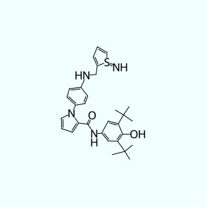 CC(C)(C)c1cc(NC(=O)c2cccn2-c2ccc(NCC3=CC=CS3=N)cc2)cc(C(C)(C)C)c1O